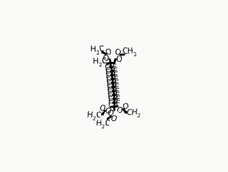 C=CC(=O)OCCC(C=C)(COC(=O)C=C)C(F)(F)C(F)(F)C(F)(F)C(F)(F)C(F)(F)C(F)(F)C(F)(F)C(F)(F)C(F)(F)C(F)(F)C(COC(=O)C=C)(COC(=O)C=C)COC(=O)C=C